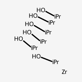 CC(C)O.CC(C)O.CC(C)O.CC(C)O.CC(C)O.CC(C)O.[Zr]